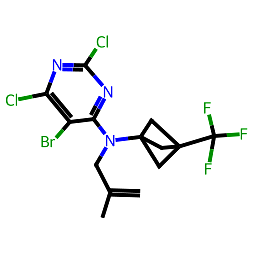 C=C(C)CN(c1nc(Cl)nc(Cl)c1Br)C12CC(C(F)(F)F)(C1)C2